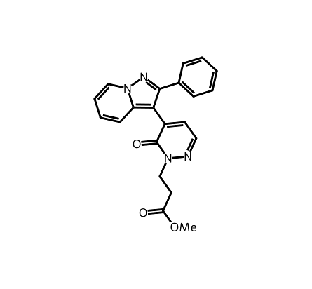 COC(=O)CCn1nccc(-c2c(-c3ccccc3)nn3ccccc23)c1=O